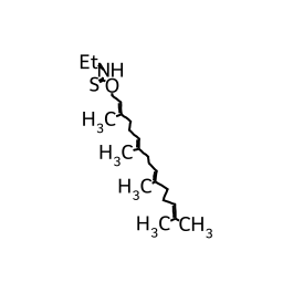 CCNC(=S)OC/C=C(\C)CC/C=C(\C)CC/C=C(\C)CCC=C(C)C